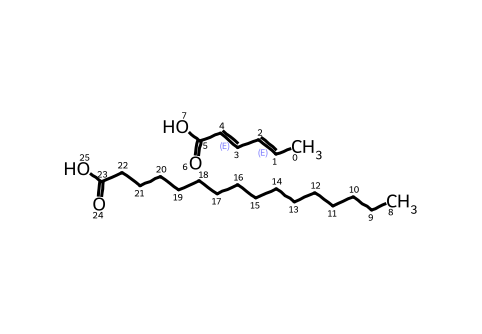 C/C=C/C=C/C(=O)O.CCCCCCCCCCCCCCCC(=O)O